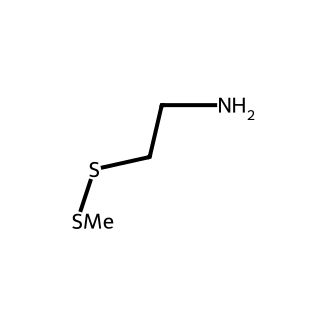 CSSCCN